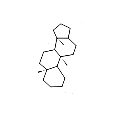 CO[C@@H]1CC[C@@H]2CC[C@@H]3[C@H](CC[C@]4(C)[C@@H](C#N)CC[C@@H]34)[C@@]2(C)C1